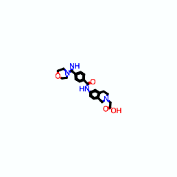 N=C(c1ccc(C(=O)Nc2ccc3c(c2)CCN(CC(=O)O)C3)cc1)N1CCOCC1